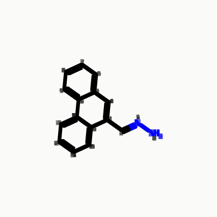 NN=Cc1cc2ccccc2c2ccccc12